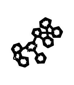 c1ccc(-c2nc(-c3cccc4c3-c3ccccc3C43c4ccccc4-c4ccccc43)cc(-c3cccc4oc5ccccc5c34)n2)cc1